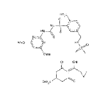 CCOC(=O)C1CC(=O)C(=C(O)C2CC2)C(=O)C1.COc1cc(OC)nc(NC(=O)NS(=O)(=O)c2cc(CNS(C)(=O)=O)ccc2C(=O)O)n1